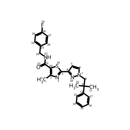 Cc1nc(-c2ccn(CC(C)(C)c3ccccc3)n2)sc1C(=O)NCc1ccc(F)cc1